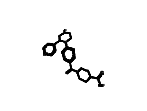 O=C(O)C1CCN(C(=O)c2ccc(N3CCNCC3c3ccncc3)cc2)CC1